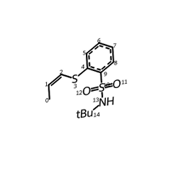 C/C=C\Sc1ccccc1S(=O)(=O)NC(C)(C)C